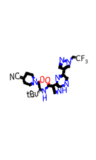 CC(C)(C)[C@@H](NC(=O)c1c[nH]c2ncc(-c3cnn(CC(F)(F)F)c3)nc12)C(=O)N1CCC(C#N)CC1